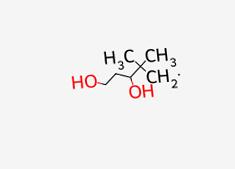 [CH2]C(C)(C)C(O)CCO